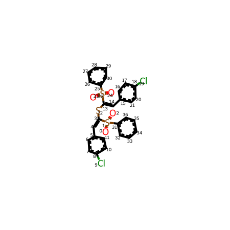 O=S(=O)(C(=Cc1ccc(Cl)cc1)SC(=Cc1ccc(Cl)cc1)S(=O)(=O)c1ccccc1)c1ccccc1